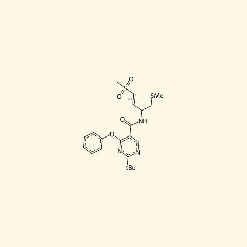 CSCC(/C=C/S(C)(=O)=O)NC(=O)c1cnc(C(C)(C)C)nc1Oc1ccccc1